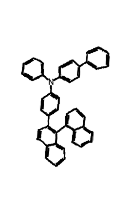 c1ccc(-c2ccc(N(c3ccccc3)c3ccc(-c4ccc5ccccc5c4-c4cccc5ccccc45)cc3)cc2)cc1